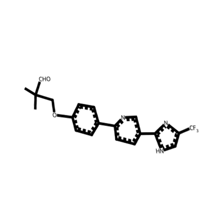 CC(C)(C=O)COc1ccc(-c2ccc(-c3nc(C(F)(F)F)c[nH]3)cn2)cc1